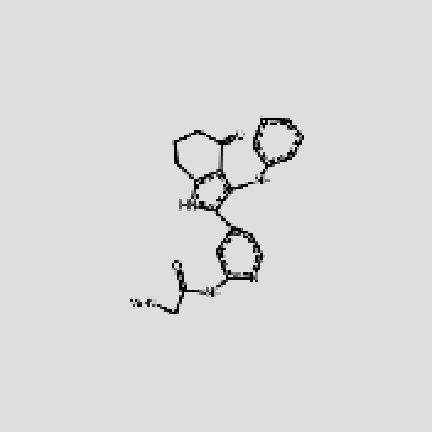 CNCC(=O)Nc1cc(-c2[nH]c3c(c2Nc2ccccc2)C(=O)CCC3)ccn1